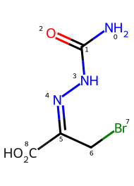 NC(=O)NN=C(CBr)C(=O)O